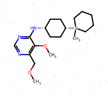 COCc1ncnc(N[C@H]2CC[C@@H]([Si]3(C)CCCCC3)CC2)c1OC